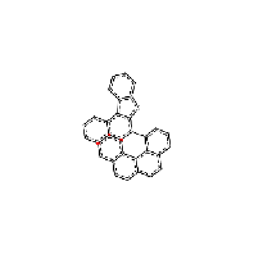 c1ccc2c(c1)ccc1ccc3cccc(-c4nc5ccccc5c5c4sc4ccccc45)c3c12